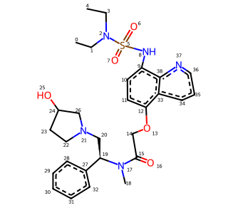 CCN(CC)S(=O)(=O)Nc1ccc(OCC(=O)N(C)[C@H](CN2CCC(O)C2)c2ccccc2)c2cccnc12